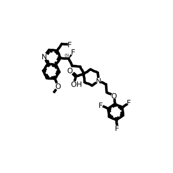 COc1ccc2ncc(CF)c([C@@H](F)CCC3(C(=O)O)CCN(CCOc4c(F)cc(F)cc4F)CC3)c2c1